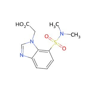 CN(C)S(=O)(=O)c1cccc2ncn(CC(=O)O)c12